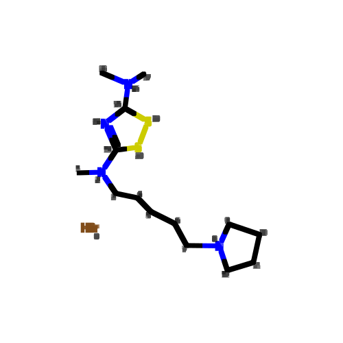 Br.CN(CCCCCN1CCCC1)C1=NC(N(C)C)SS1